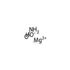 N[O-].[Mg+2].[OH-]